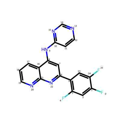 Fc1cc(F)c(-c2cc(Nc3ccncn3)c3cccnc3n2)cc1F